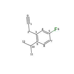 C#CCc1cc(F)ccc1C(C)C